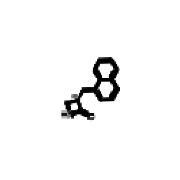 O=C1NC[C@H]1Cc1cccc2ccccc12